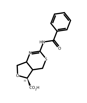 O=C(NC1=NC2CO[C@H](C(=O)O)C2CS1)c1ccccc1